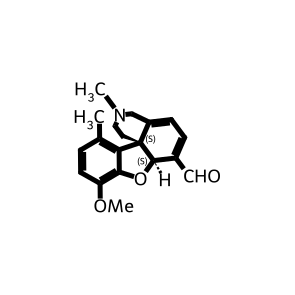 COc1ccc(C)c2c1O[C@@H]1C(C=O)=CC=C3CN(C)CC[C@]321